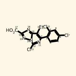 CCc1c(-c2ccc(Cl)cc2Cl)nc(Cl)n2nc(C(=O)O)nc12